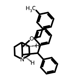 Cc1cccc(CO[C@@H]2C3CCN(CC3)[C@@H]2C(c2ccccc2)c2ccccc2)c1